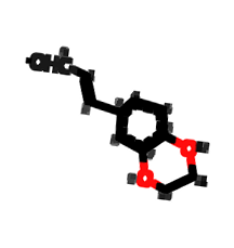 O=[C]C=Cc1ccc2c(c1)OCCO2